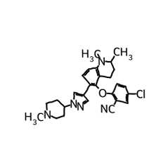 CC1CCc2c(ccc(-c3cnn(C4CCN(C)CC4)c3)c2Oc2ccc(Cl)cc2C#N)N1C